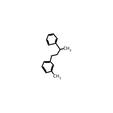 Cc1cccc([CH]CC(C)c2ccccc2)c1